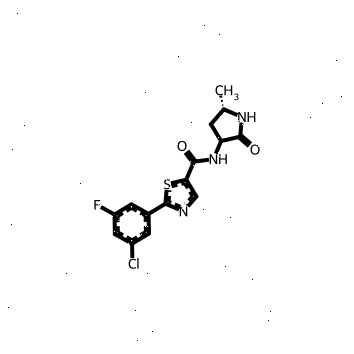 C[C@H]1CC(NC(=O)c2cnc(-c3cc(F)cc(Cl)c3)s2)C(=O)N1